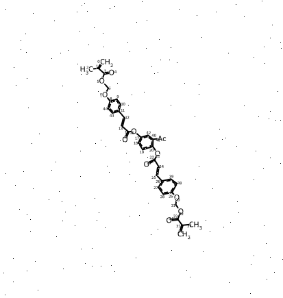 C=C(C)C(=O)OCOc1ccc(C=CC(=O)Oc2ccc(OC(=O)C=Cc3ccc(OCOC(=O)C(=C)C)cc3)c(C(C)=O)c2)cc1